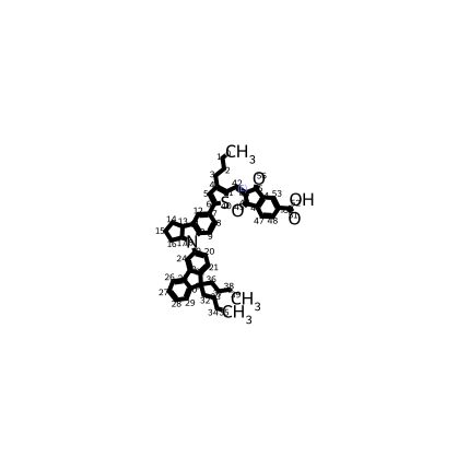 CCCCc1cc(-c2ccc3c(c2)C2CCCC2N3c2ccc3c(c2)-c2ccccc2C3(CCCC)CCCC)sc1/C=C1\C(=O)c2ccc(C(=O)O)cc2C1=O